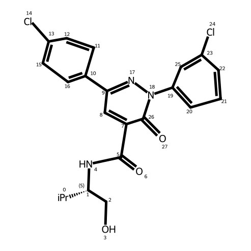 CC(C)[C@@H](CO)NC(=O)c1cc(-c2ccc(Cl)cc2)nn(-c2cccc(Cl)c2)c1=O